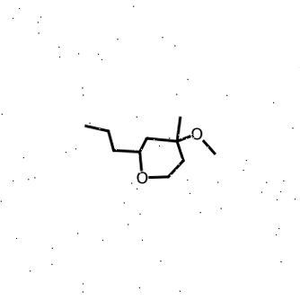 CCCC1CC(C)(OC)CCO1